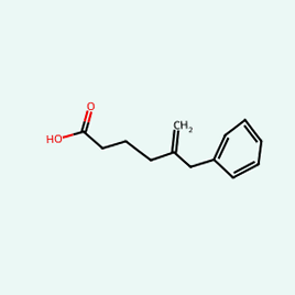 C=C(CCCC(=O)O)Cc1ccccc1